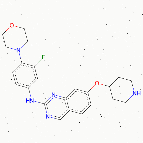 Fc1cc(Nc2ncc3ccc(OC4CCNCC4)cc3n2)ccc1N1CCOCC1